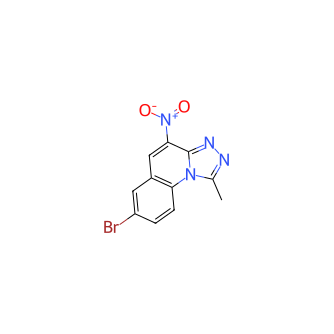 Cc1nnc2c([N+](=O)[O-])cc3cc(Br)ccc3n12